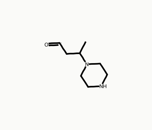 CC(C[C]=O)N1CCNCC1